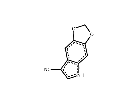 N#Cc1c[nH]c2cc3c(cc12)OCO3